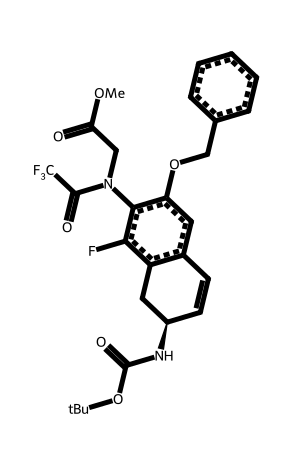 COC(=O)CN(C(=O)C(F)(F)F)c1c(OCc2ccccc2)cc2c(c1F)C[C@H](NC(=O)OC(C)(C)C)C=C2